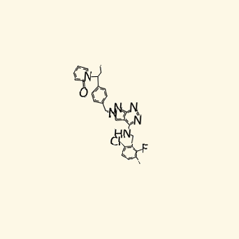 CCC(c1ccc(Cn2cc3c(NCc4c(Cl)ccc(C)c4F)ncnc3n2)cc1)n1ccccc1=O